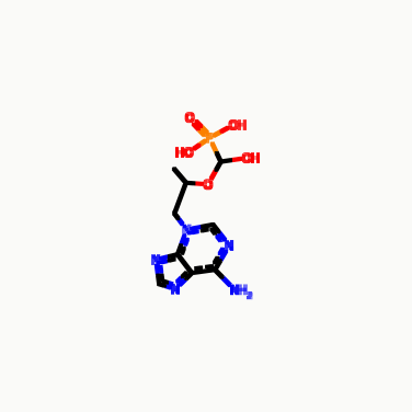 CC(Cn1cnc(N)c2ncnc1-2)OC(O)P(=O)(O)O